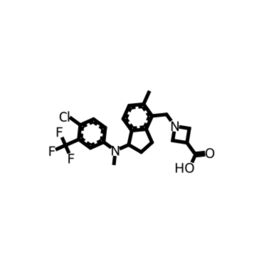 Cc1ccc2c(c1CN1CC(C(=O)O)C1)CCC2N(C)c1ccc(Cl)c(C(F)(F)F)c1